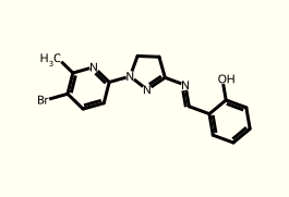 Cc1nc(N2CCC(N=Cc3ccccc3O)=N2)ccc1Br